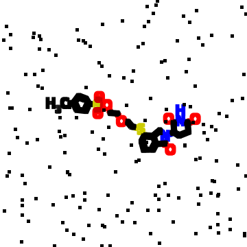 Cc1ccc(S(=O)(=O)OCCOCCSc2cccc3c2CN(C2CCC(=O)NC2=O)C3=O)cc1